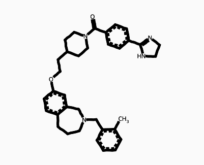 Cc1ccccc1CN1CCCc2ccc(OCCC3CCN(C(=O)c4ccc(C5=NCCN5)cc4)CC3)cc2C1